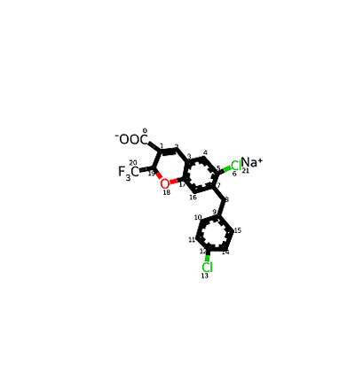 O=C([O-])C1=Cc2cc(Cl)c(Cc3ccc(Cl)cc3)cc2OC1C(F)(F)F.[Na+]